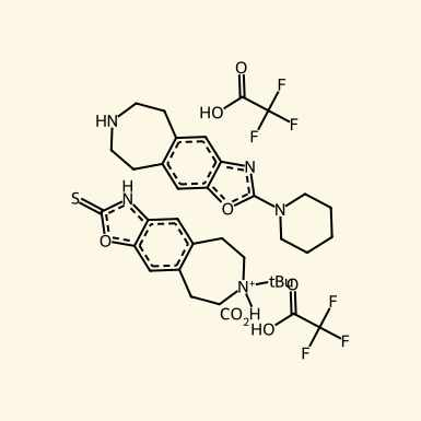 CC(C)(C)[N+]1(C(=O)O)CCc2cc3[nH]c(=S)oc3cc2CC1.O=C(O)C(F)(F)F.O=C(O)C(F)(F)F.c1c2c(cc3oc(N4CCCCC4)nc13)CCNCC2